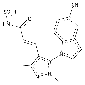 Cc1nn(C)c(-n2ccc3cc(C#N)ccc32)c1/C=C/C(=O)NS(=O)(=O)O